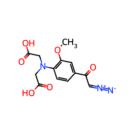 COc1cc(C(=O)C=[N+]=[N-])ccc1N(CC(=O)O)CC(=O)O